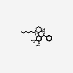 CCCCCCN1CCC[C@H]2OC(c3ccccc3)c3cc(OC)c(OC)cc3[C@H]21